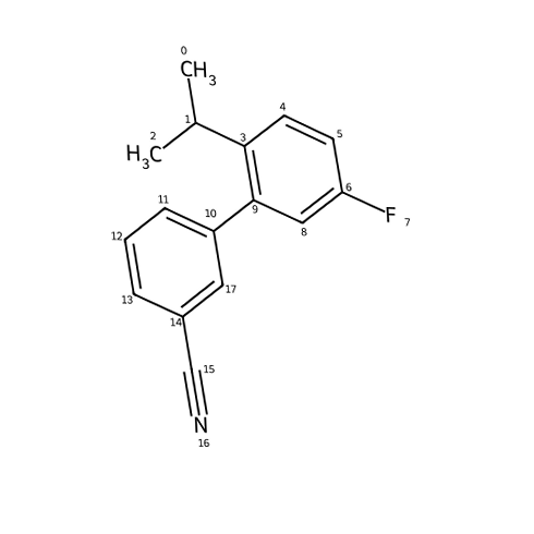 CC(C)c1ccc(F)cc1-c1cccc(C#N)c1